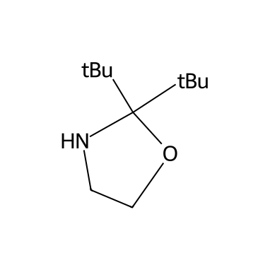 CC(C)(C)C1(C(C)(C)C)NCCO1